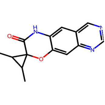 CC1C(C)C12Oc1cc3ncncc3cc1NC2=O